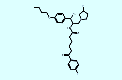 CCCCOc1ccc([C@@H](O)[C@@H](CN2CCC(F)C2)NC(=O)CCCCC(=O)c2ccc(F)cc2)cc1